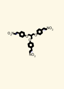 O=[N+]([O-])/C=C/c1ccc(OCC(COc2ccc(/C=C/[N+](=O)[O-])cc2)COc2ccc(/C=C/[N+](=O)[O-])cc2)cc1